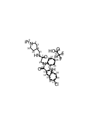 CC(C)N1CCC(CNC(=O)CN(C(=O)c2cc3cc(Cl)ccc3[nH]2)c2ccccc2)CC1.O=C(O)C(F)(F)F